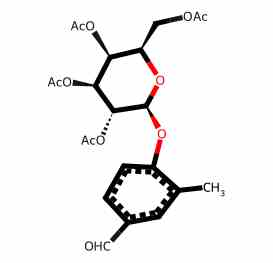 CC(=O)OC[C@H]1O[C@@H](Oc2ccc(C=O)cc2C)[C@H](OC(C)=O)[C@@H](OC(C)=O)[C@H]1OC(C)=O